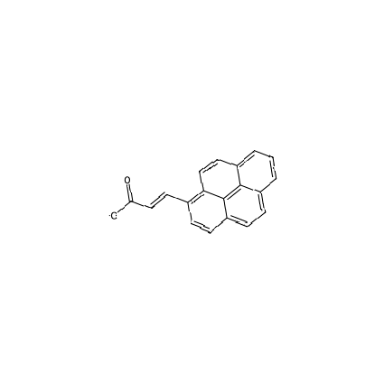 [O]C(=O)C=Cc1ccc2ccc3cccc4ccc1c2c34